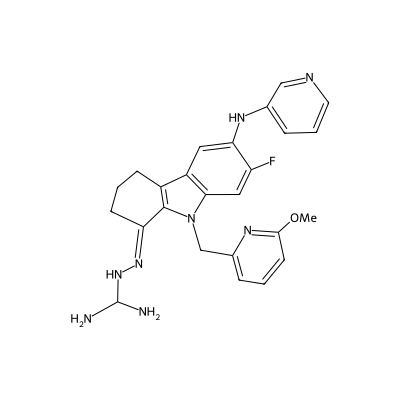 COc1cccc(Cn2c3c(c4cc(Nc5cccnc5)c(F)cc42)CCC/C3=N\NC(N)N)n1